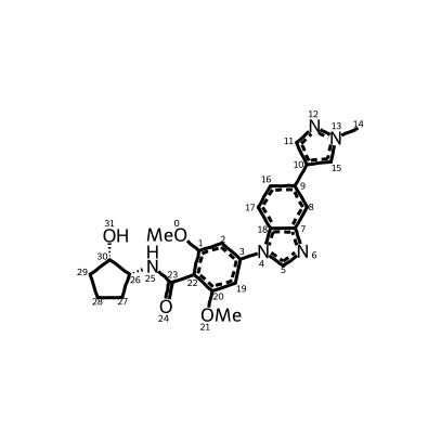 COc1cc(-n2cnc3cc(-c4cnn(C)c4)ccc32)cc(OC)c1C(=O)N[C@@H]1CCC[C@@H]1O